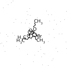 CCCCOC(=O)c1cc(Br)c(CC)c(CCCC(C)C)c1C(=O)O